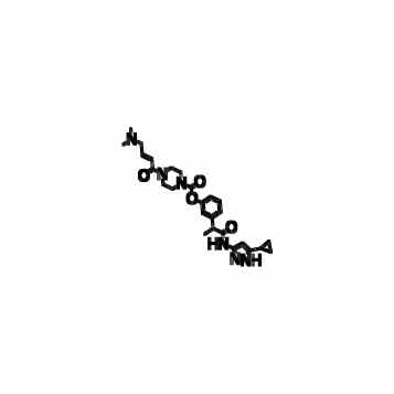 CC(C(=O)Nc1cc(C2CC2)[nH]n1)c1cccc(OC(=O)N2CCN(C(=O)C=CCN(C)C)CC2)c1